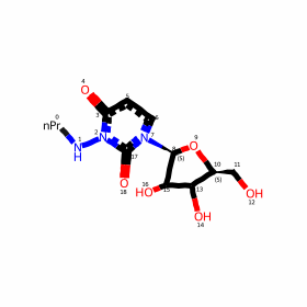 CCCNn1c(=O)ccn([C@H]2O[C@@H](CO)C(O)C2O)c1=O